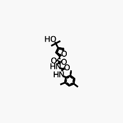 Cc1cc(C)c(NC(=O)NS(=O)(=O)c2cc(C(C)(C)O)co2)c(C)c1